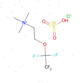 C[N+](C)(C)CCOC(F)(F)C(F)(F)F.O=[SH](=O)O.[Cl-]